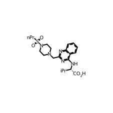 CCCS(=O)(=O)N1CCN(Cc2nc(N[C@H](C(=O)O)C(C)C)c3ccccc3n2)CC1